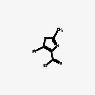 CCC(=O)c1nc(C)sc1C(C)C